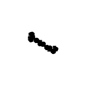 c1cnc2c(-c3ccc4cc(-c5ccc6nc(-c7ccc(-c8cc9cccnc9c9ncccc89)cc7)ccc6c5)ccc4n3)cccc2c1